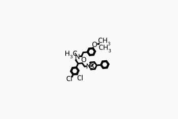 CC(C)Oc1cccc(CC(=O)N(C)CC(CC[N+]23CCC(c4ccccc4)(CC2)CC3)c2ccc(Cl)c(Cl)c2)c1